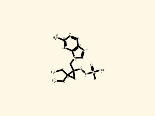 CP(=O)(O)OOC1(Cn2cnc3cnc(N)nc32)CC1(CC(F)(F)F)CC(F)(F)F